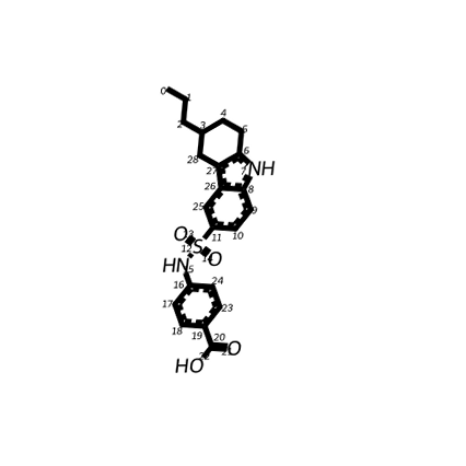 CCCC1CCc2[nH]c3ccc(S(=O)(=O)Nc4ccc(C(=O)O)cc4)cc3c2C1